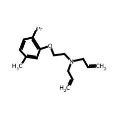 C=CCN(CC=C)CCOc1cc(C)ccc1C(C)C